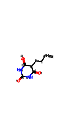 CCCCCCCCC1C(=O)NC(=O)NC1=O